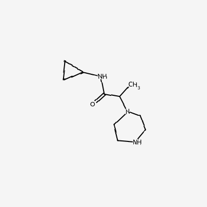 CC(C(=O)NC1CC1)N1CCNCC1